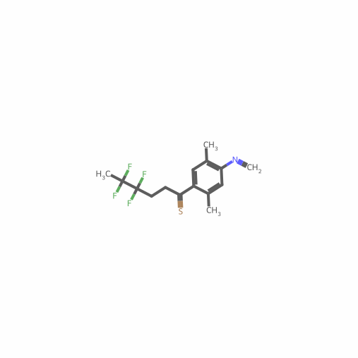 C=Nc1cc(C)c(C(=S)CCC(F)(F)C(C)(F)F)cc1C